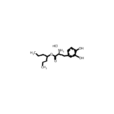 CCCC(CCC)OC(=O)[C@@H](N)Cc1ccc(O)c(O)c1.Cl